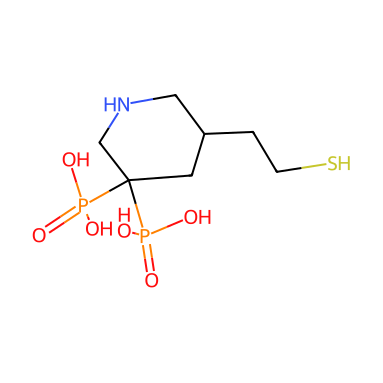 O=P(O)(O)C1(P(=O)(O)O)CNCC(CCS)C1